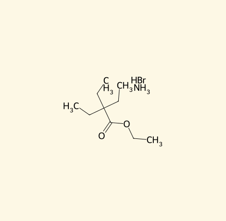 Br.CCOC(=O)C(CC)(CC)CC.N